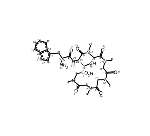 CN(CC(=O)O)C(=O)CN(C)C(=O)CN(C)C(=O)CN(C)C(=O)CN(C)C(=O)[C@H](CS)NC(=O)[C@@H](N)Cc1c[nH]c2ccccc12